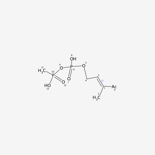 CC(=O)/C(C)=C/COP(=O)(O)OP(C)(=O)O